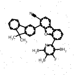 Bc1nc(-c2cccc3c2oc2c(-c4ccc5c(c4)-c4ccccc4C5(C)C)c(C#N)ccc23)c(B)c(F)c1B